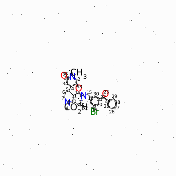 Cn1ccc(C2CCN(C(=O)O)CC2C(=O)N(Cc2cc(Br)cc(C(=O)c3ccccc3)c2)C2CC2)cc1=O